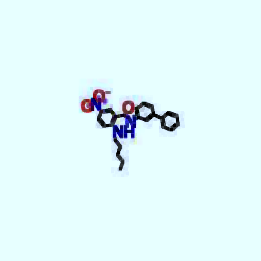 CCCCCNc1ccc([N+](=O)[O-])cc1-c1nc2cc(-c3ccccc3)ccc2o1